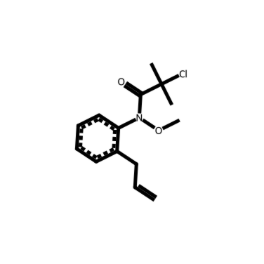 C=CCc1ccccc1N(OC)C(=O)C(C)(C)Cl